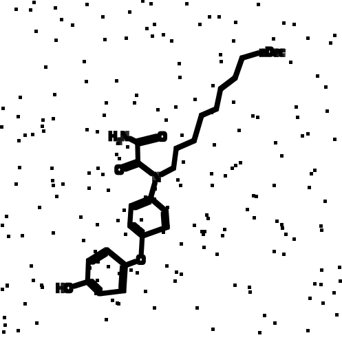 CCCCCCCCCCCCCCCCCCN(C(=O)C(N)=O)c1ccc(Oc2ccc(O)cc2)cc1